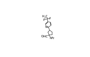 CCCC1(C=O)CCC(c2ccc(C(C)(F)F)cn2)C1